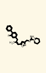 CC(=Cc1cc(CN=C(N)N2CCCCC2)no1)Cc1ccc(-c2ccccc2)c(F)c1